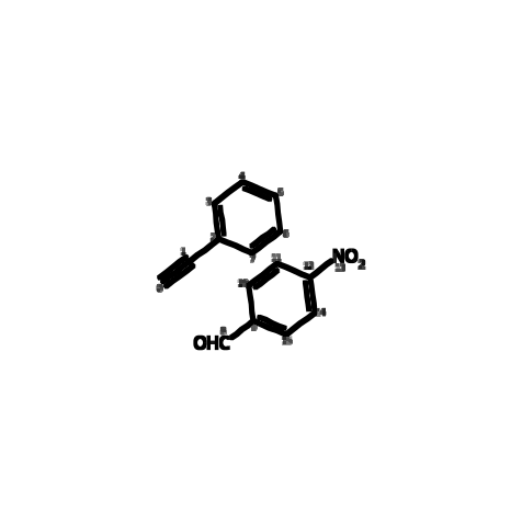 C#Cc1ccccc1.O=Cc1ccc([N+](=O)[O-])cc1